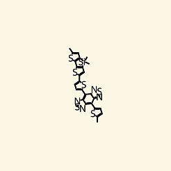 Cc1ccc(-c2c3c(c(-c4ccc(-c5cc6c(s5)-c5sc(C)cc5[Si]6(C)C)s4)c4nsnc24)N=S=N3)s1